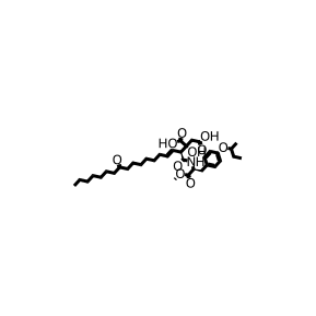 CCCCCCCC(=O)CCCCCC/C=C/[C@H](C(=O)N[C@@H](Cc1ccc(OC(C)CC)cc1)C(=O)OC)[C@@](O)(CC(=O)O)C(=O)O